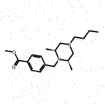 CCCCN1C[C@@H](C)N(Cc2ccc(C(=O)OC)cc2)[C@@H](C)C1